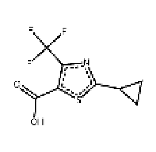 O=C(O)c1sc(C2CC2)nc1C(F)(F)F